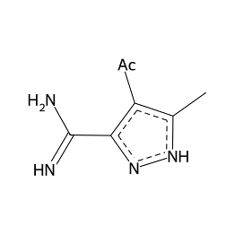 CC(=O)c1c(C(=N)N)n[nH]c1C